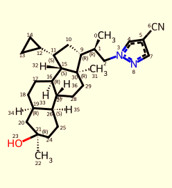 C[C@@H](Cn1cc(C#N)cn1)[C@H]1C[C@@H](C2CC2)[C@H]2[C@@H]3CC[C@@H]4C[C@](C)(O)CC[C@@H]4[C@H]3CC[C@@]21C